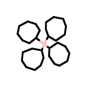 C1CCCC([B-](C2CCCCCCC2)(C2CCCCCCC2)C2CCCCCCC2)CCC1